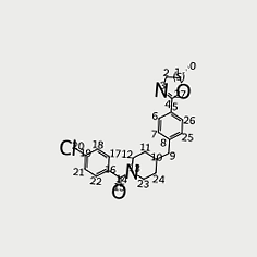 C[C@H]1CN=C(c2ccc(CC3CCN(C(=O)c4ccc(Cl)cc4)CC3)cc2)O1